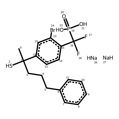 CC(S)(CCCc1ccccc1)c1ccc(C(F)(F)P(=O)(O)O)c(Br)c1.[NaH].[NaH]